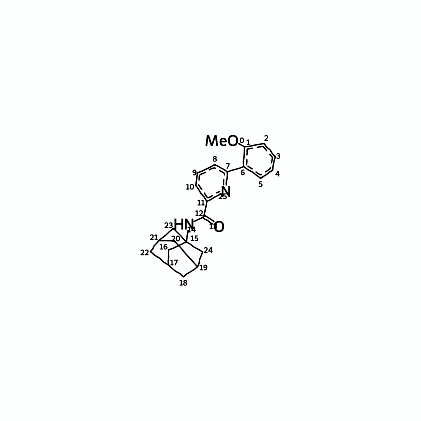 COc1ccccc1-c1cccc(C(=O)NC23CC4CC(CC(C4)C2)C3)n1